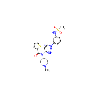 CN1CCC(N(C(=N)/C=C\Nc2cccc(NS(C)(=O)=O)c2)C(=O)c2cccs2)CC1